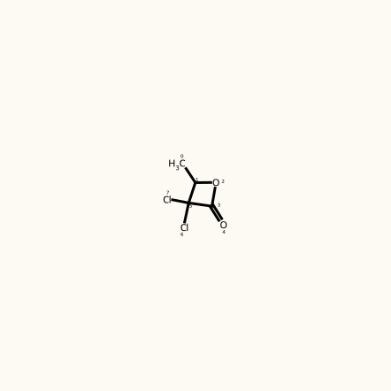 CC1OC(=O)C1(Cl)Cl